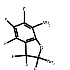 Nc1c(F)c(F)c(F)c2c1OC(N)(F)C2(F)F